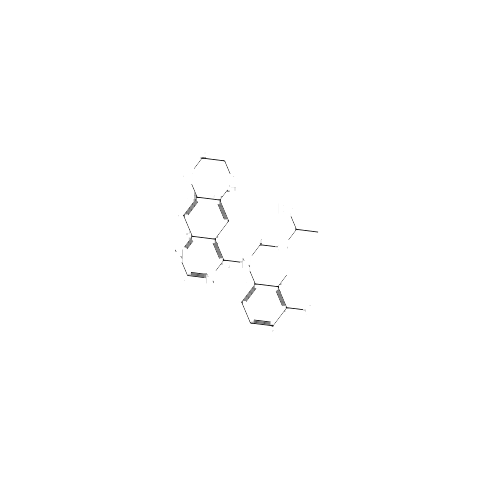 CC(O)OCN(c1cccc(Cl)c1F)c1ncnc2cc3c(cc12)OCCO3